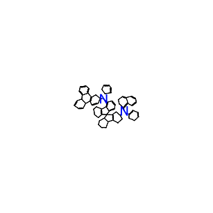 C1=CCCC(N(C2=c3ccccc3=CCC2)C2CCC3=C(C2)C2(C4=C(CCCC4)c4c(N(C5C=CC=CC5)C5C=CC6=C(C5)c5ccccc5C5C=CC=CC65)cccc42)C2CCCCC32)=C1